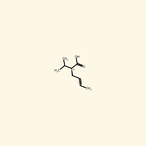 C/C=C/C[C@H](C(=O)O)C(C)C